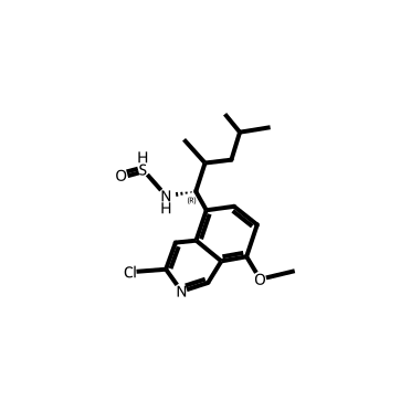 COc1ccc([C@H](N[SH]=O)C(C)CC(C)C)c2cc(Cl)ncc12